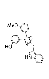 COc1cccc(-c2oc(Cc3c[nH]c4ccccc34)nc2-c2cccc(O)c2)c1